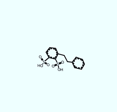 O=S(=O)(O)c1cccc(CCc2ccccc2)c1S(=O)(=O)O